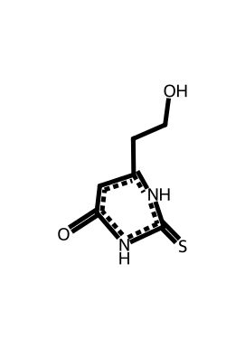 O=c1cc(CCO)[nH]c(=S)[nH]1